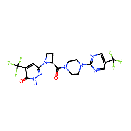 O=C([C@@H]1CCN1c1cc(C(F)(F)F)c(=O)[nH]n1)N1CCN(c2ncc(C(F)(F)F)cn2)CC1